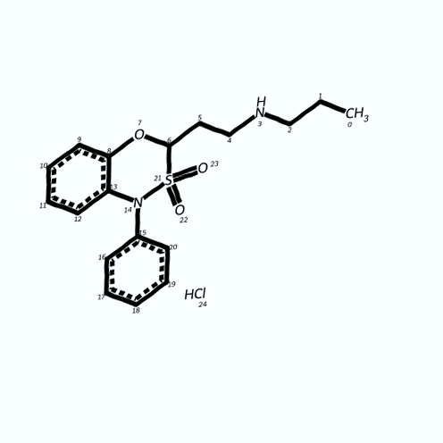 CCCNCCC1Oc2ccccc2N(c2ccccc2)S1(=O)=O.Cl